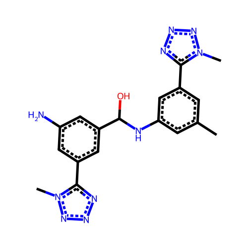 Cc1cc(NC(O)c2cc(N)cc(-c3nnnn3C)c2)cc(-c2nnnn2C)c1